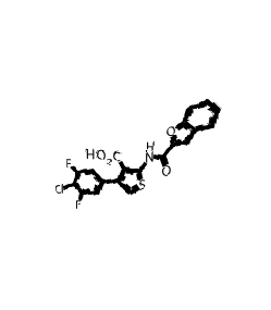 O=C(Nc1scc(-c2cc(F)c(Cl)c(F)c2)c1C(=O)O)c1cc2ccccc2o1